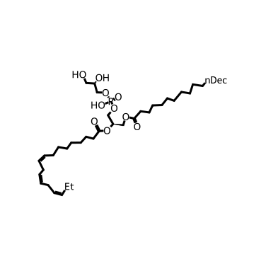 CC/C=C\C/C=C\C/C=C\CCCCCCCC(=O)O[C@H](COC(=O)CCCCCCCCCCCCCCCCCCCC)COP(=O)(O)OC[C@@H](O)CO